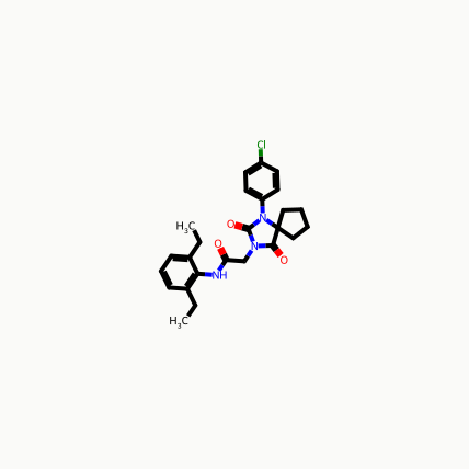 CCc1cccc(CC)c1NC(=O)CN1C(=O)N(c2ccc(Cl)cc2)C2(CCCC2)C1=O